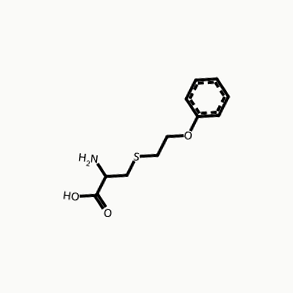 NC(CSCCOc1ccccc1)C(=O)O